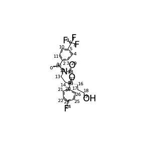 C[C@@H](c1ccc(C(F)(F)F)cc1)N1CC[C@](CCCO)(c2ccc(F)cc2)OC1=O